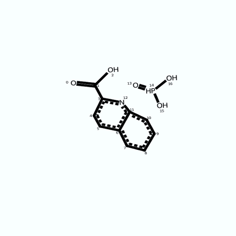 O=C(O)c1ccc2ccccc2n1.O=[PH](O)O